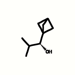 CC(C)[C@@H](O)C12CC(C1)C2